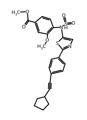 COC(=O)c1ccc(N(c2cnc(-c3ccc(C#CC4CCCC4)cc3)s2)[SH](=O)=O)c(OC)c1